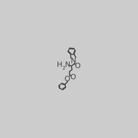 NC(CCC(=O)OCc1ccccc1)C(=O)N1Cc2ccccc2C1